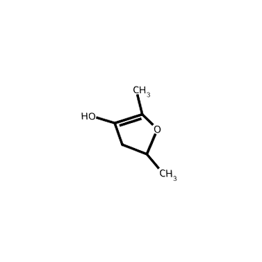 CC1=C(O)CC(C)O1